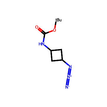 CC(C)(C)OC(=O)NC1CC(N=[N+]=[N-])C1